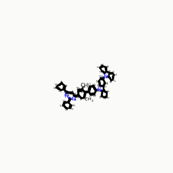 Cc1cc(-c2cc(-c3ccccc3)nc(-c3ccccc3)n2)cc(C)c1-c1ccc(-n2c3ccccc3c3cc(-n4c5ccccc5c5ccccc54)ccc32)cc1